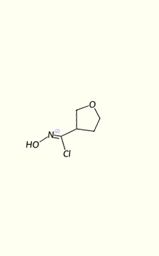 O/N=C(\Cl)C1CCOC1